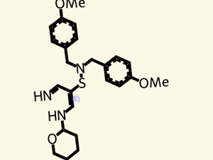 COc1ccc(CN(Cc2ccc(OC)cc2)S/C(C=N)=C/NC2CCCCO2)cc1